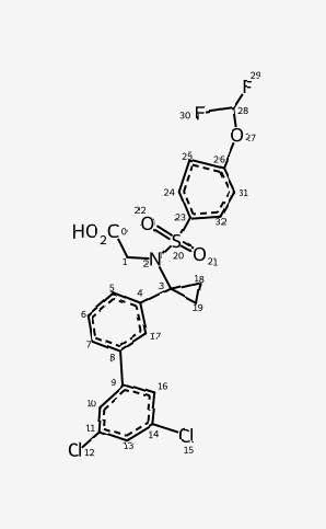 O=C(O)CN(C1(c2cccc(-c3cc(Cl)cc(Cl)c3)c2)CC1)S(=O)(=O)c1ccc(OC(F)F)cc1